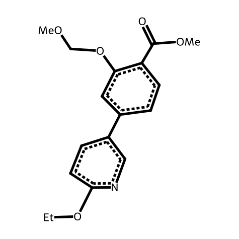 CCOc1ccc(-c2ccc(C(=O)OC)c(OCOC)c2)cn1